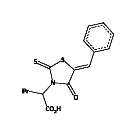 CC(C)C(C(=O)O)N1C(=O)C(=Cc2ccccc2)SC1=S